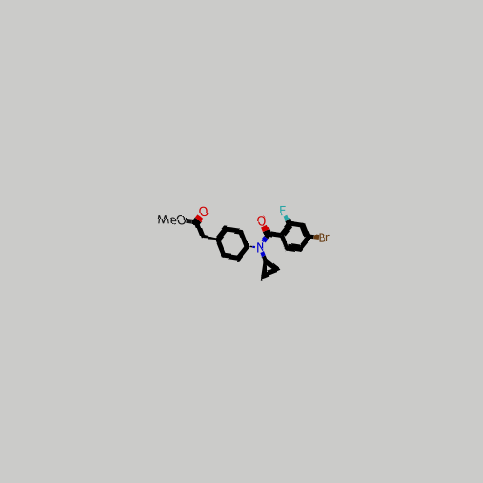 COC(=O)C[C@H]1CC[C@H](N(C(=O)c2ccc(Br)cc2F)C2CC2)CC1